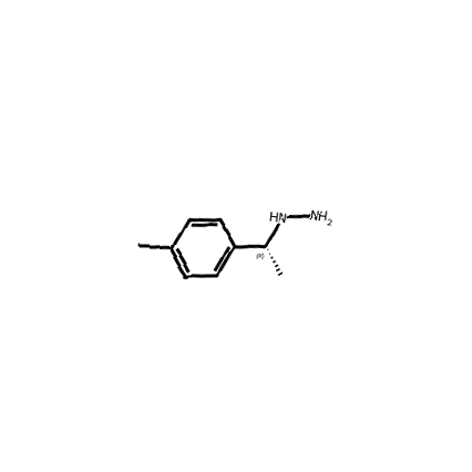 Cc1ccc([C@@H](C)NN)cc1